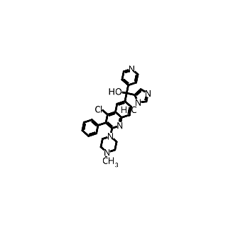 CN1CCN(c2nc3ccc(C(O)(c4ccncc4)c4cncn4C)cc3c(Cl)c2-c2ccccc2)CC1